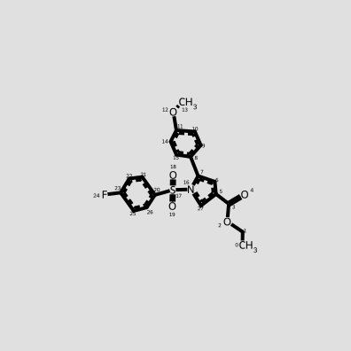 CCOC(=O)c1cc(-c2ccc(OC)cc2)n(S(=O)(=O)c2ccc(F)cc2)c1